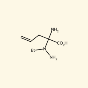 C=CCC(N)(C(=O)O)N(N)CC